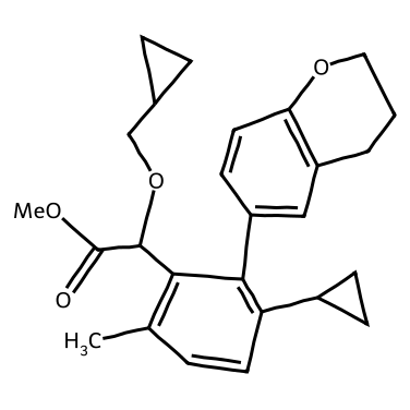 COC(=O)C(OCC1CC1)c1c(C)ccc(C2CC2)c1-c1ccc2c(c1)CCCO2